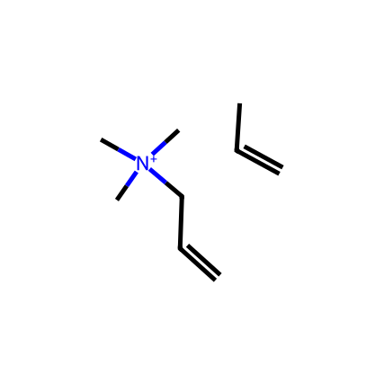 C=CC.C=CC[N+](C)(C)C